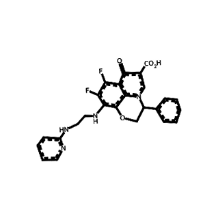 O=C(O)c1cn2c3c(c(NCCNc4ccccn4)c(F)c(F)c3c1=O)OCC2c1ccccc1